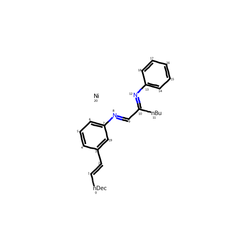 CCCCCCCCCCC=Cc1cccc(N=CC(CCCC)=Nc2ccccc2)c1.[Ni]